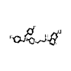 Fc1ccc(CN(Cc2ccc(F)cc2)C2CCN(CCCNc3ccnc4cc(Cl)ccc34)CC2)cc1